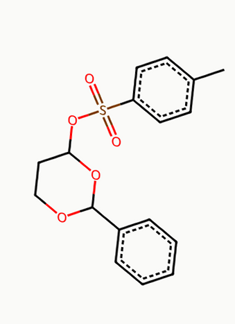 Cc1ccc(S(=O)(=O)OC2CCOC(c3ccccc3)O2)cc1